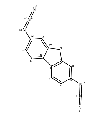 [N-]=[N+]=Nc1ccc2c(c1)Cc1cc(N=[N+]=[N-])ccc1-2